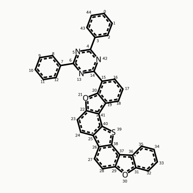 c1ccc(-c2nc(-c3ccccc3)nc(-c3cccc4c3oc3ccc5c6ccc7oc8ccccc8c7c6sc5c34)n2)cc1